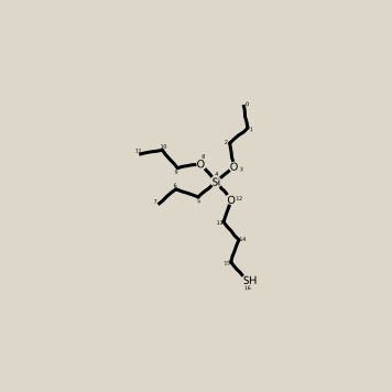 CCCO[Si](CCC)(OCCC)OCCCS